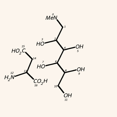 CNCC(O)C(O)C(O)C(O)CO.NC(CC(=O)O)C(=O)O